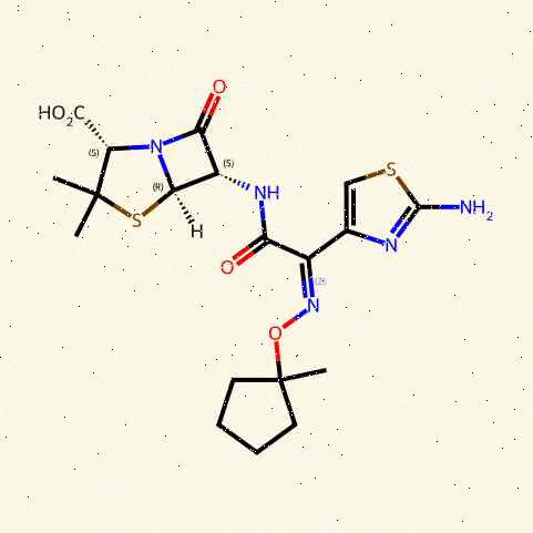 CC1(O/N=C(\C(=O)N[C@H]2C(=O)N3[C@@H]2SC(C)(C)[C@@H]3C(=O)O)c2csc(N)n2)CCCC1